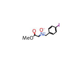 COC(=O)/C=[N+](\[O-])Cc1ccc(I)cc1